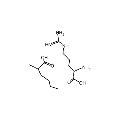 CCCCC(C)C(=O)O.N=C(N)NCCCC(N)C(=O)O